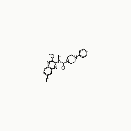 COc1nc2ccc(F)cc2nc1NC(=O)N1CCN(c2ccccc2)CC1